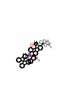 CC(C)(C)c1ccc2c(c1)C1(c3ccccc3Oc3ccc(N(c4ccc5c(c4)C4(c6ccccc6-c6ccccc64)c4ccccc4-5)c4cccc5ccccc45)cc31)c1cc(C(C)(C)C)ccc1-2